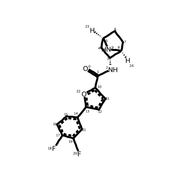 O=C(N[C@@H]1C[C@H]2CC[C@@H]1N2)c1ccc(-c2ccc(F)c(F)c2)o1